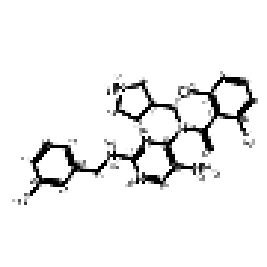 C=C(c1c(Cl)cccc1Cl)N(CC1CCNC1)c1nc(NCc2cccc(F)c2)ncc1N